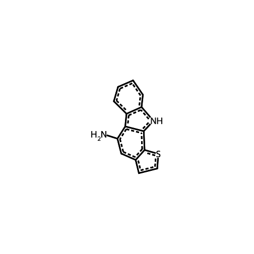 Nc1cc2ccsc2c2[nH]c3ccccc3c12